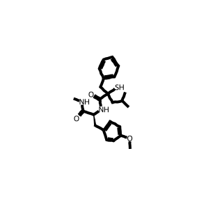 CNC(=O)[C@H](Cc1ccc(OC)cc1)NC(=O)C(S)(Cc1ccccc1)CC(C)C